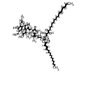 CCCCCCCCCCCCCCCC(=O)OP(=O)(OCCN[C@@](C)(N)C(=O)N[C@H](CCC(=O)N(CC(C)O[C@H]1[C@H](O)[C@@H](CO)O[C@H](O)[C@@H]1NC(C)=O)[C@@H](C)C(=O)O)C(N)=O)OC[C@H](O)C(O)C(=O)CCCCCCCCCCCCCCC